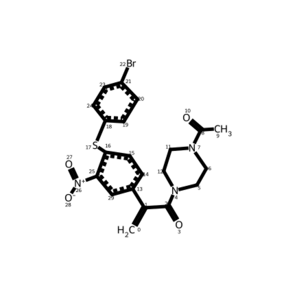 C=C(C(=O)N1CCN(C(C)=O)CC1)c1ccc(Sc2ccc(Br)cc2)c([N+](=O)[O-])c1